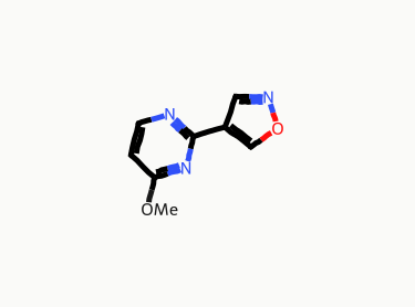 COc1ccnc(-c2cnoc2)n1